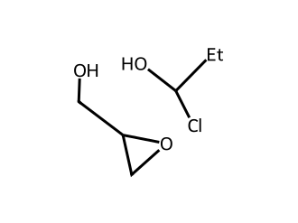 CCC(O)Cl.OCC1CO1